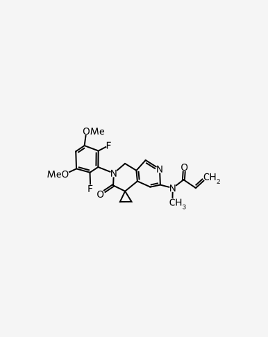 C=CC(=O)N(C)c1cc2c(cn1)CN(c1c(F)c(OC)cc(OC)c1F)C(=O)C21CC1